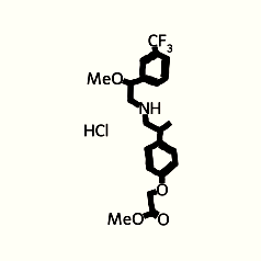 COC(=O)COc1ccc(C(C)CNCC(OC)c2cccc(C(F)(F)F)c2)cc1.Cl